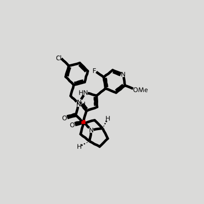 COc1cc(-c2cc(C(=O)N3[C@@H]4CC[C@H]3CC(C(=O)NCc3cccc(Cl)c3)C4)n[nH]2)c(F)cn1